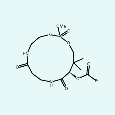 CCC(=O)O[C@H]1C(=O)NCCC(=O)NCCSP(=O)(OC)OCC1(C)C